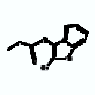 CCC(=O)Oc1c(O)[nH]c2ccccc12